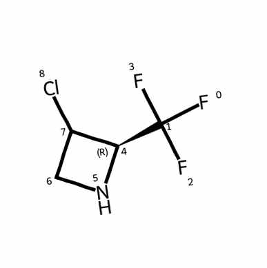 FC(F)(F)[C@H]1NCC1Cl